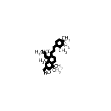 CC(=O)/C=C1\C([C@H](C)CCC2CCC(C)(C)CC2C)CCC2C(C)(C)c3oncc3C[C@]12C